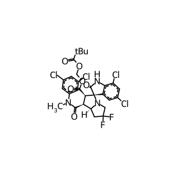 CN(C(=O)[C@H]1[C@@H](C(=O)OCOC(=O)C(C)(C)C)[C@]2(C(=O)Nc3c(Cl)cc(Cl)cc32)N2CC(F)(F)C[C@@H]12)c1cc(Cl)cc(Cl)c1